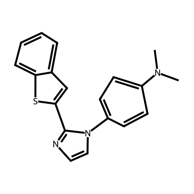 CN(C)c1ccc(-n2ccnc2-c2cc3ccccc3s2)cc1